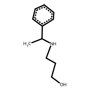 CC(NCCCO)c1cc[c]cc1